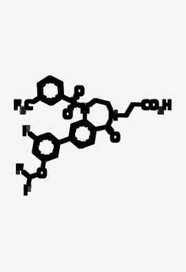 O=C(O)CCN1CCN(S(=O)(=O)c2cccc(C(F)(F)F)c2)c2cc(-c3cc(F)cc(OC(F)F)c3)ccc2C1=O